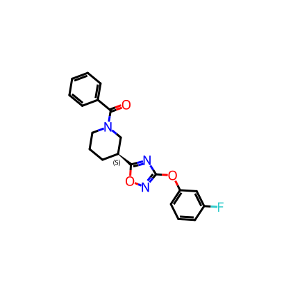 O=C(c1ccccc1)N1CCC[C@H](c2nc(Oc3cccc(F)c3)no2)C1